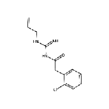 C=CCNC(=N)NC(=O)Cc1ccccc1Cl